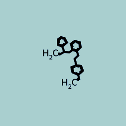 C=Cc1ccc(CCc2ccccc2CC(C=C)c2ccccc2)cc1